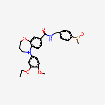 CCOc1cc(N2CCCOc3cc(C(=O)NCc4ccc([S+](C)[O-])cc4)ccc32)ccc1OC